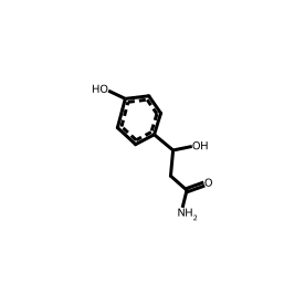 NC(=O)CC(O)c1ccc(O)cc1